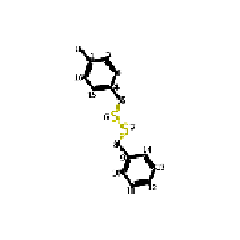 Cc1ccc(CSSCc2ccccc2)cc1